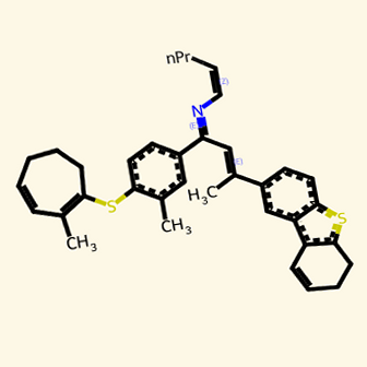 CCC\C=C/N=C(\C=C(/C)c1ccc2sc3c(c2c1)C=CCC3)c1ccc(SC2=C(C)C=CCCC2)c(C)c1